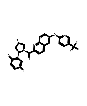 O=C(c1ccc2cc(Oc3ccc(C(F)(F)F)cn3)ccc2n1)N1C[C@@H](F)C[C@@H]1c1cc(F)ccc1F